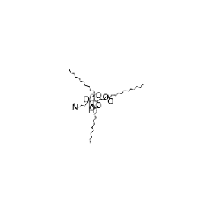 CCCCCCCCCCCC(=O)OCC(OC(=O)CCCCCCCCCCC)C(CNC(=O)CCCN(C)C)OC(=O)CCCCCCCCCCC